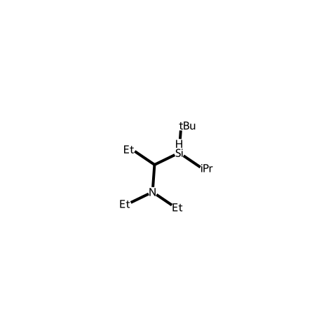 CCC(N(CC)CC)[SiH](C(C)C)C(C)(C)C